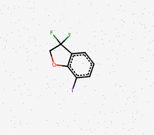 FC1(F)COc2c(I)cccc21